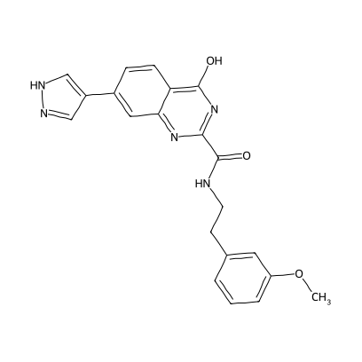 COc1cccc(CCNC(=O)c2nc(O)c3ccc(-c4cn[nH]c4)cc3n2)c1